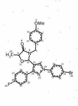 COc1ccc(CN2C(=O)C(C)OC2c2cn(-c3ccc(Br)cc3)nc2-c2ccc(F)cc2)cc1